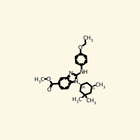 CCOc1ccc(Nc2nc3cc(C(=O)OC)ccc3n2[C@@H]2C[C@@H](C)CC(C)(C)C2)cc1